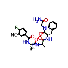 CC(C)[C@H](NC(=O)c1ccc(F)c(C#N)c1)C(=O)N[C@H](C)C(=O)N[C@@H](Cc1ccccc1)C(=O)NCC(N)=O